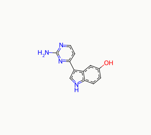 Nc1nccc(-c2c[nH]c3ccc(O)cc23)n1